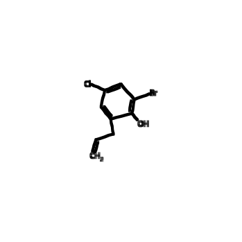 C=CCc1cc(Cl)cc(Br)c1O